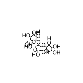 C[C@@H]1O[C@@H](O[C@H]2[C@H](O[C@@H]3O[C@H](CO)[C@H](O)[C@H](O)[C@H]3O)[C@@H](CO)OC(O)[C@@H]2O)[C@@H](O)[C@H](O)[C@@H]1O